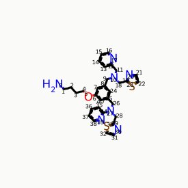 NCCCCOc1cc(CN(Cc2ccccn2)Cc2nccs2)cc(CN(Cc2nccs2)c2ccccn2)c1